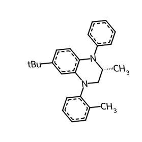 Cc1ccccc1N1C[C@@H](C)N(c2ccccc2)c2ccc(C(C)(C)C)cc21